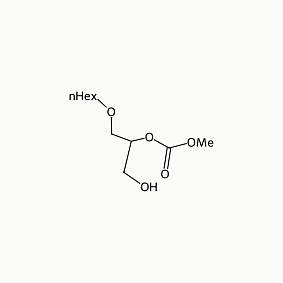 CCCCCCOCC(CO)OC(=O)OC